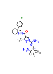 C=C(N)/C(C)=C\N=C(/N)n1cc(C(=O)NCC2(c3ccc(F)cc3)CCCCC2)c(C(F)(F)F)n1